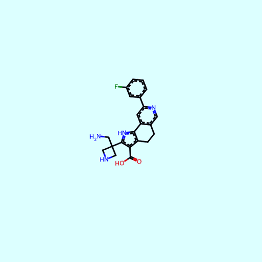 NCC1(c2[nH]c3c(c2C(=O)O)CCc2cnc(-c4cccc(F)c4)cc2-3)CNC1